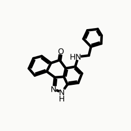 O=C1c2ccccc2-c2n[nH]c3ccc(NCc4ccccc4)c1c23